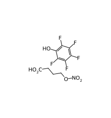 O=C(O)CCCO[N+](=O)[O-].Oc1c(F)c(F)c(F)c(F)c1F